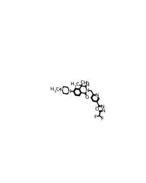 CN1CCN(c2ccc3c(c2)C(C)(C)C(=O)N(Cc2ccc(-c4nnc(C(F)F)o4)cn2)C3=O)CC1